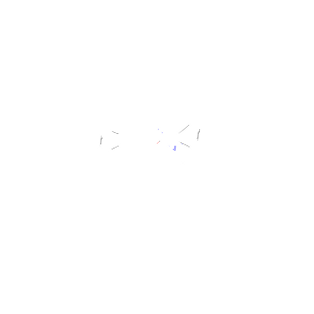 CNC(=O)N(CCOc1ccc2c(c1)CCCC2)Cc1ccc(F)cc1